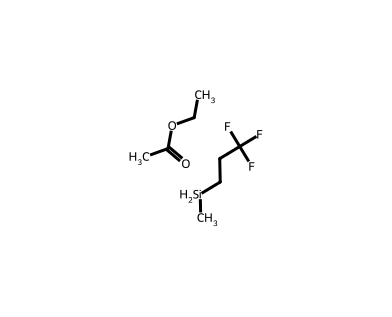 CCOC(C)=O.C[SiH2]CCC(F)(F)F